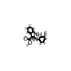 COC(=O)c1c(Nc2cccc(F)c2)[nH]c2ccccc12